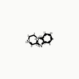 C1=NCCn2c1nc1ccccc12